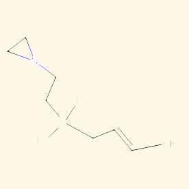 CC=CC[Si](CC)(CC)CCN1CC1